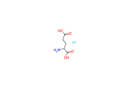 F.NC(CCC(=O)O)C(=O)O